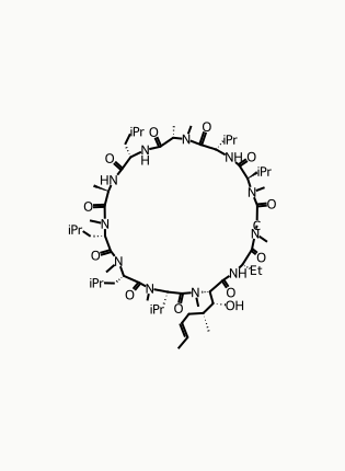 C/C=C/C[C@@H](C)[C@@H](O)[C@H]1C(=O)N[C@@H](CC)C(=O)N(C)CC(=O)N(C)[C@H](C(C)C)C(=O)N[C@@H](C(C)C)C(=O)N(C)[C@@H](C)C(=O)N[C@@H](CC(C)C)C(=O)N[C@H](C)C(=O)N(C)[C@@H](CC(C)C)C(=O)N(C)[C@@H](CC(C)C)C(=O)N(C)[C@@H](C(C)C)C(=O)N1C